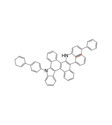 C1=CC(c2ccc(-n3c4ccccc4c4c5c6ccccc6c(-c6ccccc6)c(Nc6ccc(-c7ccccc7)cc6)c5c5ccccc5c43)cc2)=CCC1